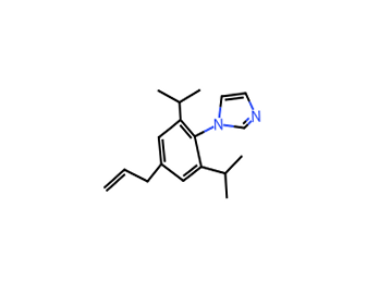 C=CCc1cc(C(C)C)c(-n2ccnc2)c(C(C)C)c1